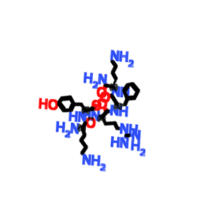 N=C(N)NCCC[C@@H](NC(=O)[C@H](Cc1ccc(O)cc1)NC(=O)[C@@H](N)CCCCN)C(=O)N[C@@H](Cc1ccccc1)C(=O)N[C@@H](CCCCN)C(N)=O